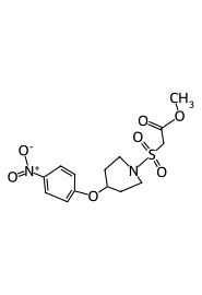 COC(=O)CS(=O)(=O)N1CCC(Oc2ccc([N+](=O)[O-])cc2)CC1